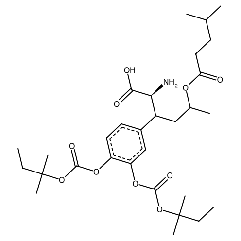 CCC(C)(C)OC(=O)Oc1ccc(C(CC(C)OC(=O)CCC(C)C)[C@H](N)C(=O)O)cc1OC(=O)OC(C)(C)CC